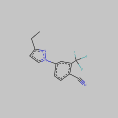 CCc1ccn(-c2ccc(C#N)c(C(F)(F)F)c2)n1